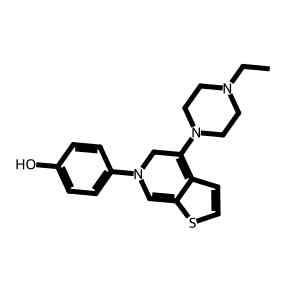 CCN1CCN(C2=c3ccsc3=CN(c3ccc(O)cc3)C2)CC1